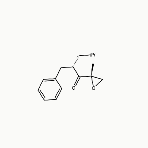 CC(C)C[C@@H](Cc1ccccc1)C(=O)[C@]1(C)CO1